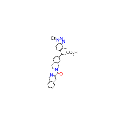 CCn1nnc2c(C)c(C(CC(=O)O)c3ccc4c(c3)CN(C(=O)c3cc5ccccc5cn3)CC4)ccc21